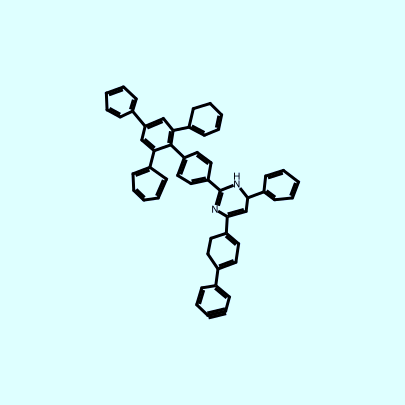 c1ccc(C2=CC=C(C3=CC(c4ccccc4)NC(c4ccc(-c5c(C6=CC=CCC6)cc(-c6ccccc6)cc5-c5ccccc5)cc4)=N3)CC2)cc#1